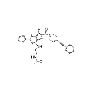 CC(=O)NCCNc1nc(-c2ccccc2)nc2[nH]c(C(=O)N3CC=C(C#Cc4ccccc4)CC3)cc12